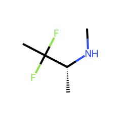 CN[C@H](C)C(C)(F)F